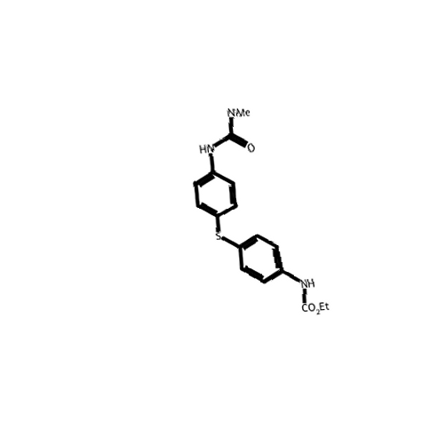 CCOC(=O)Nc1ccc(Sc2ccc(NC(=O)NC)cc2)cc1